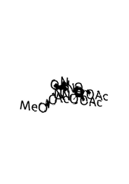 COCCOCn1cnc2c(ncn2[C@@H]2O[C@H](COC(C)=O)C(OC(C)=O)[C@@H]2OC(C)=O)c1=O